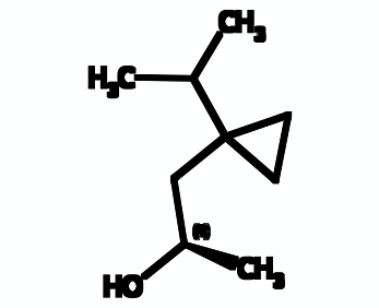 CC(C)C1(C[C@@H](C)O)CC1